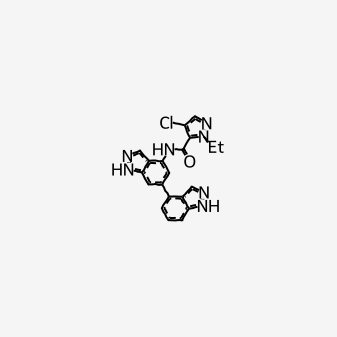 CCn1ncc(Cl)c1C(=O)Nc1cc(-c2cccc3[nH]ncc23)cc2[nH]ncc12